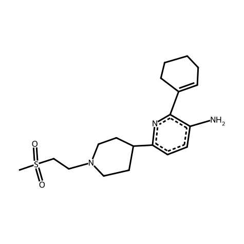 CS(=O)(=O)CCN1CCC(c2ccc(N)c(C3=CCCCC3)n2)CC1